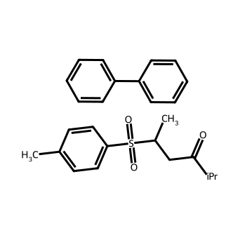 Cc1ccc(S(=O)(=O)C(C)CC(=O)C(C)C)cc1.c1ccc(-c2ccccc2)cc1